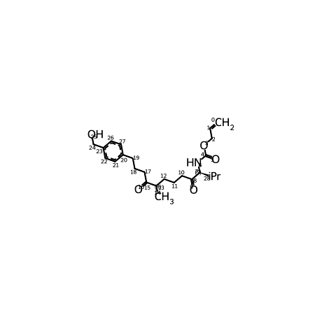 C=CCOC(=O)N[C@H](C(=O)CCC[C@@H](C)C(=O)CCCc1ccc(CO)cc1)C(C)C